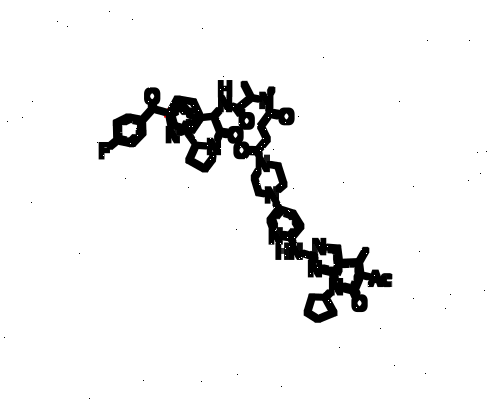 CC(=O)c1c(C)c2cnc(Nc3ccc(N4CCN(C(=O)CCC(=O)N(C)C(C)C(=O)NC(C(=O)N5CCC[C@H]5c5nc(C(=O)c6ccc(F)cc6)cs5)C5CCCCC5)CC4)cn3)nc2n(C2CCCC2)c1=O